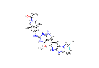 COc1nc(N[C@@H]2C[C@@H]3CN(C(C)=O)C[C@@H]3C2)nc2[nH]cc(-c3cnc4nc(C)n(CC(F)F)c4c3)c12